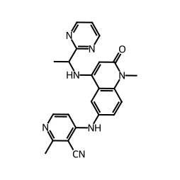 Cc1nccc(Nc2ccc3c(c2)c(NC(C)c2ncccn2)cc(=O)n3C)c1C#N